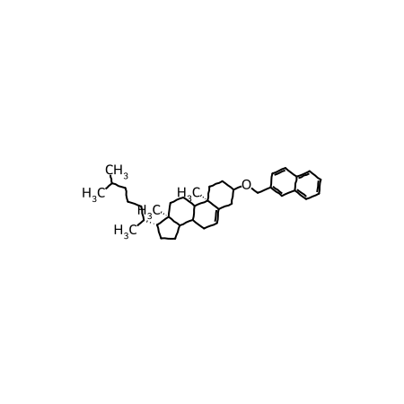 CC(C)CCCC(C)[C@H]1CCC2C3CC=C4CC(OCc5ccc6ccccc6c5)CC[C@]4(C)C3CC[C@@]21C